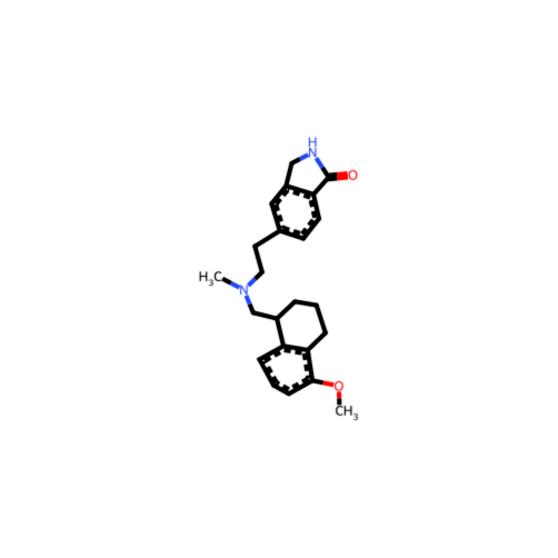 COc1cccc2c1CCCC2CN(C)CCc1ccc2c(c1)CNC2=O